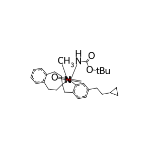 CN1C(=O)C2(N=C1NC(=O)OC(C)(C)C)c1cc(CCC3CC3)ccc1CC21CCc2ccccc2CC1